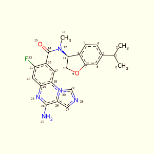 CC(C)c1ccc2c(c1)OC[C@H]2N(C)C(=O)c1cc2c(cc1F)nc(N)c1cncn12